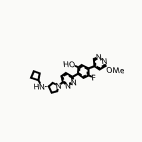 COc1cc(-c2cc(O)c(-c3ccc(N4CC[C@H](NC5CCC5)C4)nn3)cc2F)cnn1